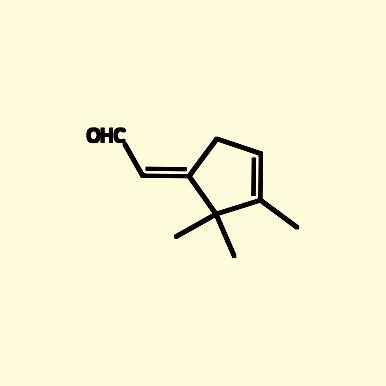 CC1=CCC(=CC=O)C1(C)C